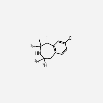 [2H]C1([2H])Cc2ccc(Cl)cc2[C@@H](C)C([2H])(C)N1